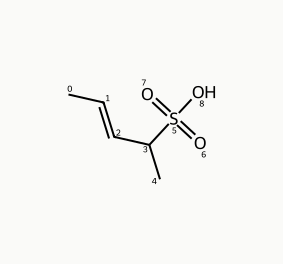 CC=CC(C)S(=O)(=O)O